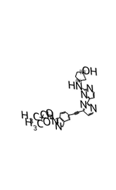 CC(C)(C)OC(=O)n1ncc2cc(C#Cc3ccnc(-c4ccnc(N[C@@H]5CC[C@H](O)C5)n4)n3)ccc21